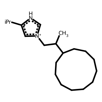 CC(C)c1c[n+](CC(C)C2CCCCCCCCCC2)c[nH]1